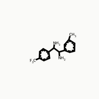 Cc1cccc(C(N)C(N)c2ccc(C(F)(F)F)cc2)c1